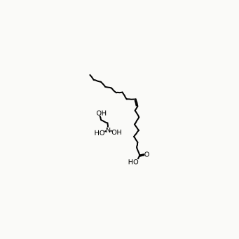 CCCCCCCC/C=C\CCCCCCCC(=O)O.OCCN(O)O